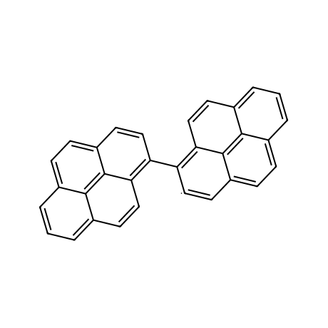 [c]1cc2ccc3cccc4ccc(c1-c1ccc5ccc6cccc7ccc1c5c67)c2c34